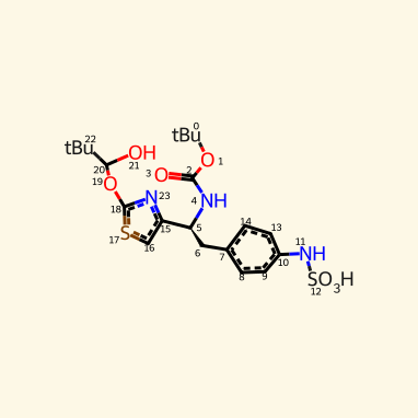 CC(C)(C)OC(=O)N[C@@H](Cc1ccc(NS(=O)(=O)O)cc1)c1csc(OC(O)C(C)(C)C)n1